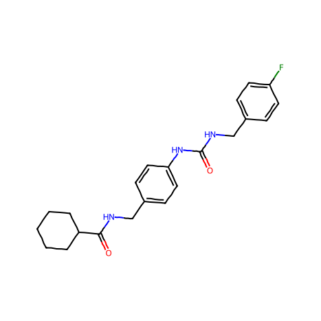 O=C(NCc1ccc(F)cc1)Nc1ccc(CNC(=O)C2CCCCC2)cc1